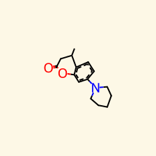 CC1CC(=O)Oc2cc(N3CCCCC3)ccc21